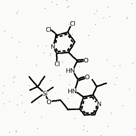 CC(C)c1nccc(CCO[Si](C)(C)C(C)(C)C)c1NC(=O)NC(=O)c1cc(Cl)c(Cl)nc1Cl